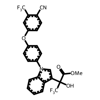 COC(=O)C(O)(c1cn(-c2ccc(Oc3ccc(C#N)c(C(F)(F)F)c3)cc2)c2ccccc12)C(F)(F)F